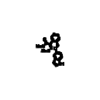 CON=C(C(=O)OC)c1ccccc1COc1ccc2[nH]ccc2c1